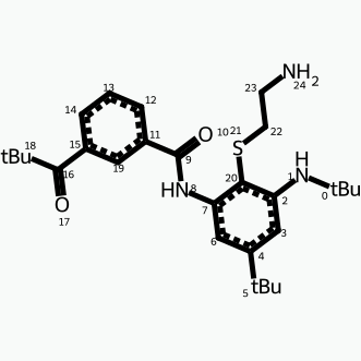 CC(C)(C)Nc1cc(C(C)(C)C)cc(NC(=O)c2cccc(C(=O)C(C)(C)C)c2)c1SCCN